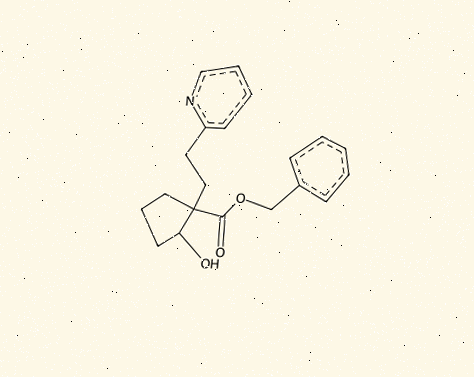 O=C(OCc1ccccc1)C1(CCc2ccccn2)CCCC1O